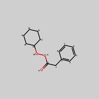 O=C(Cc1ccccc1)OOC1CCCCC1